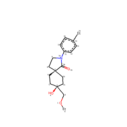 CCOC[C@]1(O)CC[C@]2(CCN(c3ccc(CC)cc3)C2=O)CC1